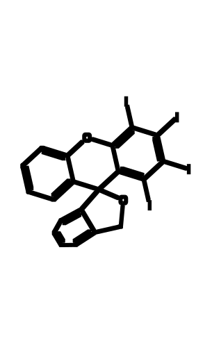 Ic1c(I)c(I)c2c(c1I)Oc1ccccc1C21OCc2ccccc21